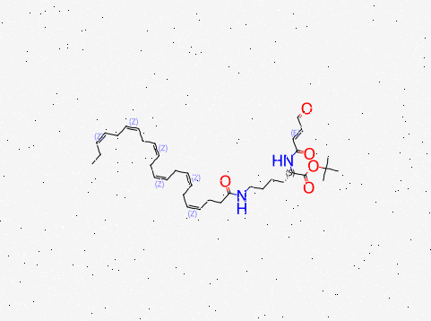 CC/C=C\C/C=C\C/C=C\C/C=C\C/C=C\C/C=C\CCC(=O)NCCCC[C@H](NC(=O)/C=C/C=O)C(=O)OC(C)(C)C